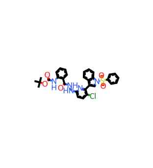 CC(C)(C)OC(=O)Nc1ccccc1C(=O)NNc1ccc(Cl)c(-c2cn(S(=O)(=O)c3ccccc3)c3ccccc23)n1